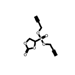 C#CCOP(=O)(OCC#C)C1COC(=O)O1